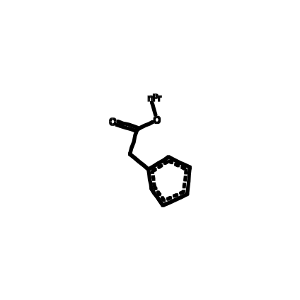 CCCOC(=O)Cc1ccccc1